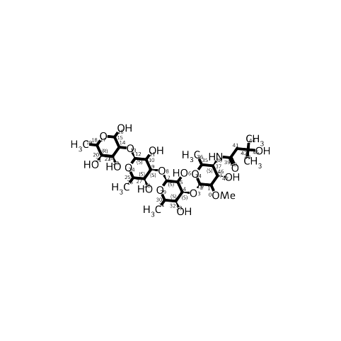 COC1[C@H](O[C@@H]2C(O)[C@H](O[C@@H]3C(O)[C@H](OC4C(O)OC(C)[C@H](O)[C@@H]4O)OC(C)[C@@H]3O)OC(C)[C@@H]2O)OC(C)[C@@H](NC(=O)CC(C)(C)O)[C@@H]1O